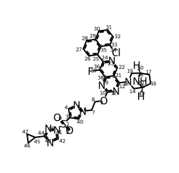 O=S(=O)(c1cnn(CCOc2nc(N3C[C@H]4CC[C@@H](C3)N4)c3cnc(-c4cccc5cccc(Cl)c45)c(F)c3n2)c1)n1cnc(C2CC2)n1